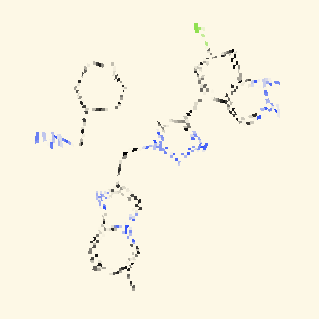 Cc1ccc2nc(Cn3cc(-c4cc(F)cc5[nH]ncc45)nn3)cn2c1.NCC1CCCCC1